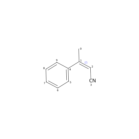 C/C(=C/C#N)c1ccccc1